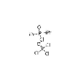 CC(C)P(=O)(Cl)C(C)C.O=P(Cl)(Cl)Cl